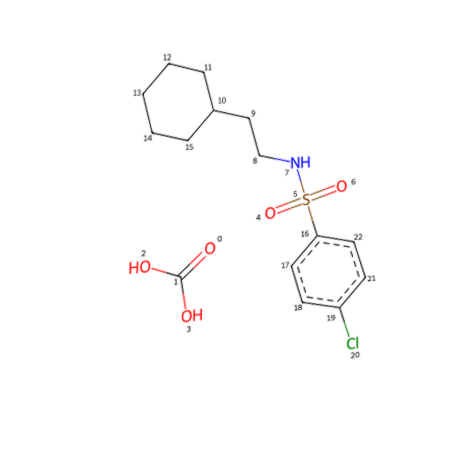 O=C(O)O.O=S(=O)(NCCC1CCCCC1)c1ccc(Cl)cc1